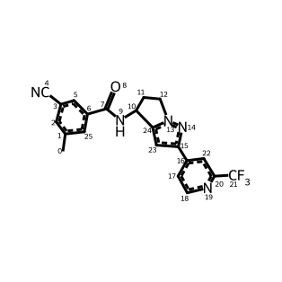 Cc1cc(C#N)cc(C(=O)NC2CCn3nc(-c4ccnc(C(F)(F)F)c4)cc32)c1